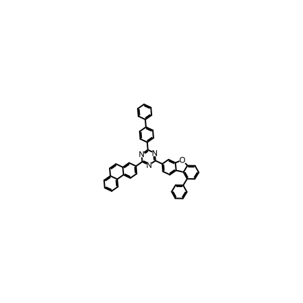 c1ccc(-c2ccc(-c3nc(-c4ccc5c(ccc6ccccc65)c4)nc(-c4ccc5c(c4)oc4cccc(-c6ccccc6)c45)n3)cc2)cc1